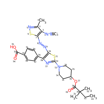 [C-]#[N+]c1c(C)nsc1/N=N/c1sc(N2CCC(OC(=O)C(C)(C)CC)CC2)nc1-c1ccc(C(=O)O)cc1